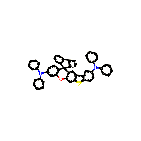 c1ccc(N(c2ccccc2)c2ccc3c(c2)Oc2cc4sc5ccc(N(c6ccccc6)c6ccccc6)cc5c4cc2C32c3ccccc3-c3ccccc32)cc1